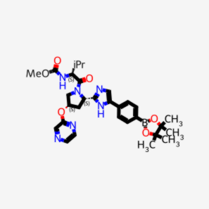 COC(=O)N[C@H](C(=O)N1C[C@@H](Oc2cnccn2)C[C@H]1c1ncc(-c2ccc(B3OC(C)(C)C(C)(C)O3)cc2)[nH]1)C(C)C